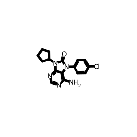 Nc1ncnc2c1n(-c1ccc(Cl)cc1)c(=O)n2C1CCCC1